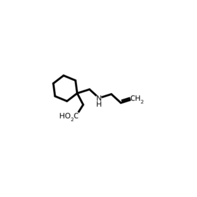 C=CCNCC1(CC(=O)O)CCCCC1